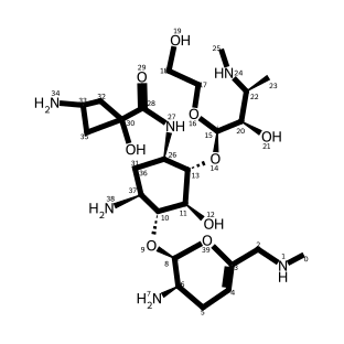 CNCC1=CC[C@@H](N)[C@@H](O[C@H]2[C@H](O)[C@@H](O[C@@H](OCCO)[C@H](O)[C@H](C)NC)[C@H](NC(=O)C3(O)CC(N)C3)C[C@@H]2N)O1